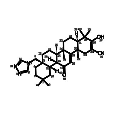 CC1(C)CC[C@]2(Cn3cnnc3)CC[C@]3(C)[C@H](C(=O)C=C4[C@@]5(C)CC(C#N)=C(O)C(C)(C)[C@@H]5CC[C@]43C)[C@@H]2C1